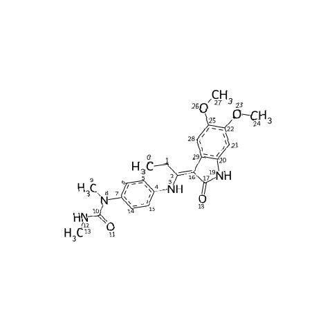 CC/C(Nc1ccc(N(C)C(=O)NC)cc1)=C1/C(=O)Nc2cc(OC)c(OC)cc21